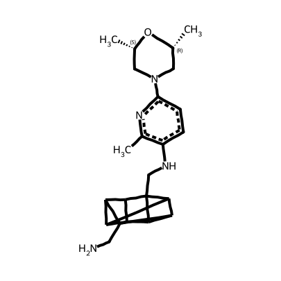 Cc1nc(N2C[C@@H](C)O[C@@H](C)C2)ccc1NCC12C3C4C1C15C3C(C21)C45CN